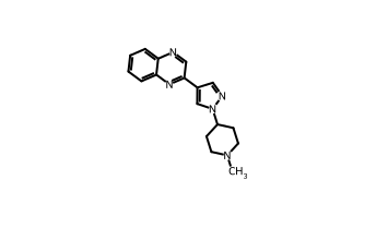 CN1CCC(n2cc(-c3cnc4ccccc4n3)cn2)CC1